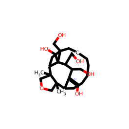 CC12COCC1(C)C1CC3(CO)CCCCCCCC2/C(=C\O)C(CO)C(CO)C13CO